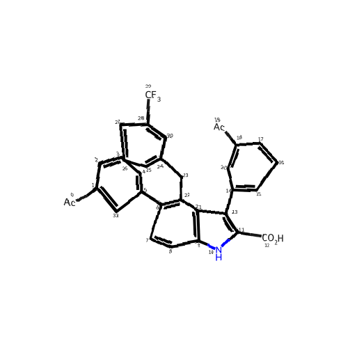 CC(=O)c1cccc(-c2ccc3[nH]c(C(=O)O)c(-c4cccc(C(C)=O)c4)c3c2Cc2cccc(C(F)(F)F)c2)c1